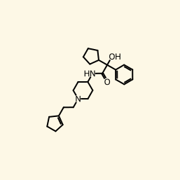 O=C(NC1CCN(CCC2=CCCC2)CC1)C(O)(c1ccccc1)C1CCCC1